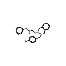 Fc1ccc(CC2Cc3ccccc3CN2CCNCc2ccccc2)cc1